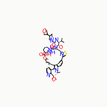 CCn1c(-c2cccnc2[C@H](C)OC)c2c3cc(ccc31)-c1csc(n1)C[C@H](NC(=O)[C@H](C(C)C)N(C)C(=O)N1CC(C3COC3)C1)C(=O)N1CCC[C@@](O)(N1)C(=O)OCC(C)(C)C2